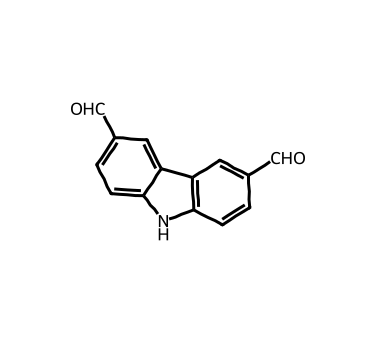 O=Cc1ccc2[nH]c3ccc(C=O)cc3c2c1